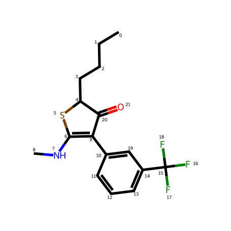 CCCCC1SC(NC)=C(c2cccc(C(F)(F)F)c2)C1=O